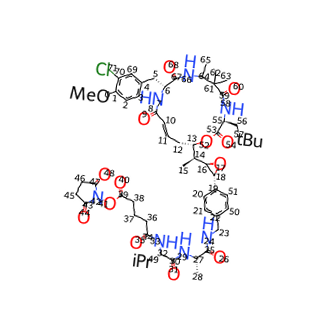 COc1ccc(C[C@H]2NC(=O)/C=C/C[C@@H]([C@H](C)[C@H]3O[C@@H]3c3ccc(CNC(=O)[C@H](C)NC(=O)[C@@H](NC(=O)CCCC(=O)ON4C(=O)CCC4=O)C(C)C)cc3)OC(=O)[C@H](CC(C)(C)C)NC(=O)C(C)(C)C(C)NC2=O)cc1Cl